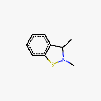 CC1c2ccccc2SN1C